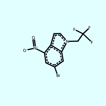 O=[N+]([O-])c1cc(Br)cc2c1ccn2CC(F)(F)F